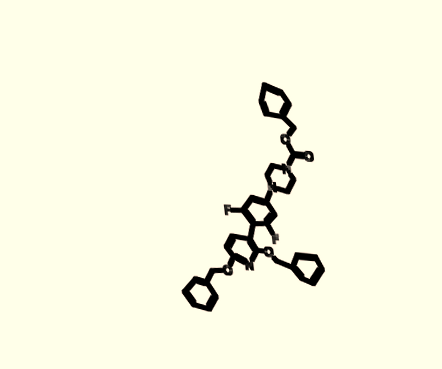 O=C(OCc1ccccc1)N1CCN(c2cc(F)c(-c3ccc(OCc4ccccc4)nc3OCc3ccccc3)c(F)c2)CC1